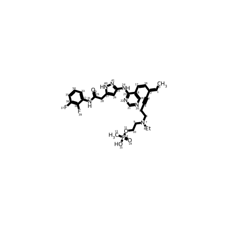 C/C=C(C#CCCN(CC)CCOP(C)(=O)O)\C=C/c1cncnc1Nc1cc(CC(=O)Nc2cccc(F)c2F)[nH]n1